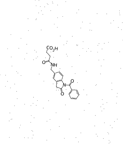 O=C(O)CCC(=O)NCc1ccc2c(c1)CC(=O)N2C(=O)c1ccccc1